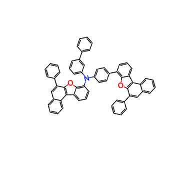 c1ccc(-c2cccc(N(c3ccc(-c4cccc5c4oc4c(-c6ccccc6)cc6ccccc6c45)cc3)c3cccc4c3oc3c(-c5ccccc5)cc5ccccc5c34)c2)cc1